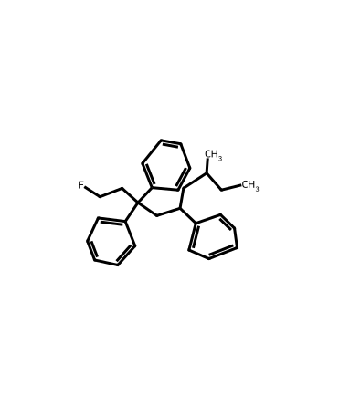 CCC(C)CC(CC(CCF)(c1ccccc1)c1ccccc1)c1ccccc1